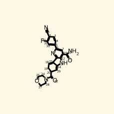 N#Cc1ccc(-c2cc(C(N)=O)c3[nH]c4c(c3n2)=CCC(C(=O)N2CCOCC2)C=4)cc1F